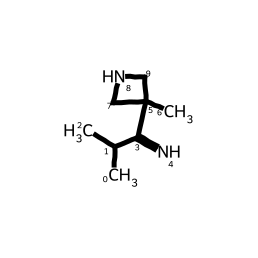 CC(C)C(=N)C1(C)CNC1